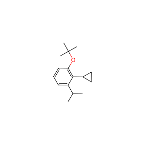 C[C](C)c1cccc(OC(C)(C)C)c1C1CC1